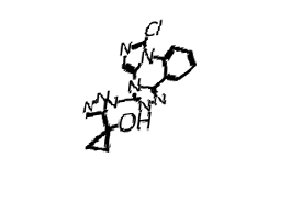 OC1(c2cnnn2-c2nnc3c4ccccc4n4c(Cl)ncc4n23)CC1